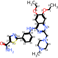 CCOc1cc2nc(CN3CCN(C)CC3)nc(Nc3cccc(-c4ncc(C(N)=O)s4)c3)c2cc1OCC